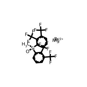 C[Si]([O-])(c1cccc(C(F)(F)F)c1C(F)(F)F)c1cccc(C(F)(F)F)c1C(F)(F)F.[Br-].[Mg+2]